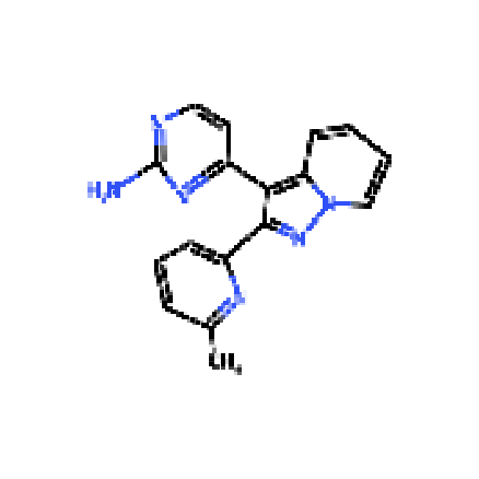 Cc1cccc(-c2nn3ccccc3c2-c2ccnc(N)n2)n1